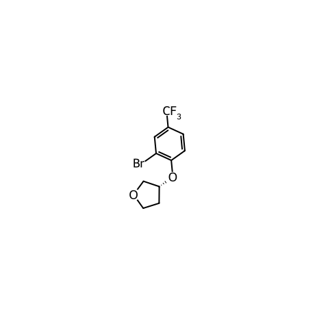 FC(F)(F)c1ccc(O[C@@H]2CCOC2)c(Br)c1